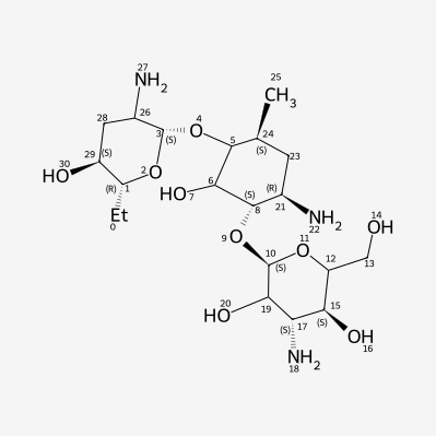 CC[C@H]1O[C@@H](OC2C(O)[C@@H](O[C@H]3OC(CO)[C@@H](O)[C@H](N)C3O)[C@H](N)C[C@@H]2C)C(N)C[C@@H]1O